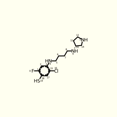 Fc1cc(NCCCCN[C@@H]2CCNC2)c(Cl)cc1S